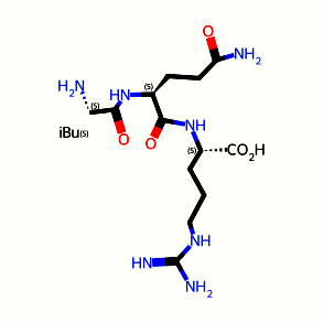 CC[C@H](C)[C@H](N)C(=O)N[C@@H](CCC(N)=O)C(=O)N[C@@H](CCCNC(=N)N)C(=O)O